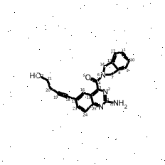 Nc1nc(C(=O)N2Cc3ccccc3C2)c2cc(C#CCCO)ccc2n1